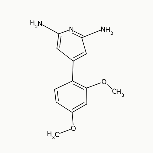 COc1ccc(-c2cc(N)nc(N)c2)c(OC)c1